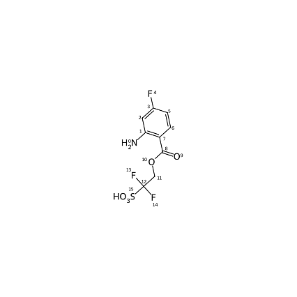 Nc1cc(F)ccc1C(=O)OCC(F)(F)S(=O)(=O)O